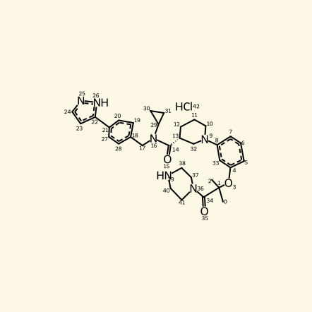 CC(C)(Oc1cccc(N2CCC[C@@H](C(=O)N(Cc3ccc(-c4ccn[nH]4)cc3)C3CC3)C2)c1)C(=O)N1CCNCC1.Cl